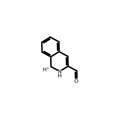 O=CC1=Cc2ccccc2CN1.[H+]